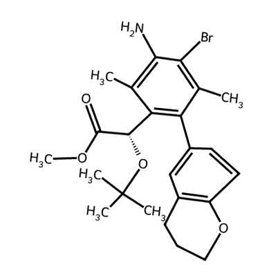 COC(=O)[C@@H](OC(C)(C)C)c1c(C)c(N)c(Br)c(C)c1-c1ccc2c(c1)CCCO2